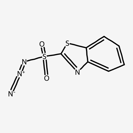 [N-]=[N+]=NS(=O)(=O)c1nc2ccccc2s1